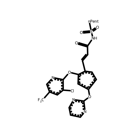 CCCCCS(=O)(=O)NC(=O)C=Cc1ccc(Oc2ncccn2)cc1Oc1ncc(C(F)(F)F)cc1Cl